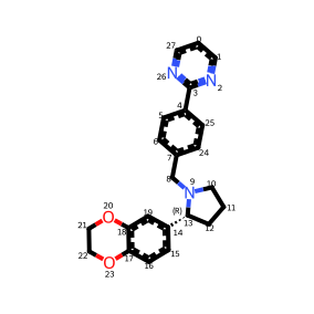 c1cnc(-c2ccc(CN3CCC[C@@H]3c3ccc4c(c3)OCCO4)cc2)nc1